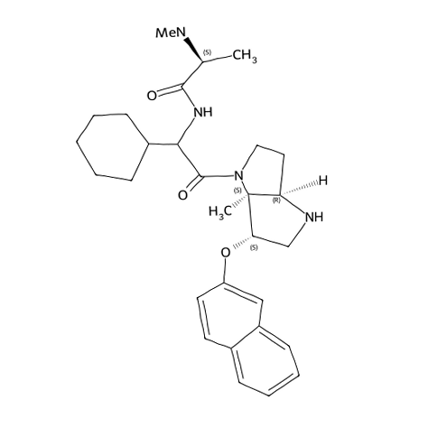 CN[C@@H](C)C(=O)NC(C(=O)N1CC[C@H]2NC[C@H](Oc3ccc4ccccc4c3)[C@]21C)C1CCCCC1